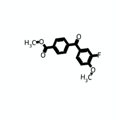 COC(=O)c1ccc(C(=O)c2ccc(OC)c(F)c2)cc1